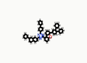 c1ccc(-c2ccc(-c3nc(-c4ccc5ccc(-c6ccccc6)cc5c4)nc(-c4cccc5oc6c(-c7ccc(-c8ccccc8)c(-c8ccccc8)c7)cccc6c45)n3)cc2)cc1